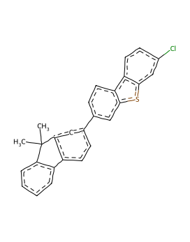 CC1(C)c2ccccc2-c2ccc(-c3ccc4c(c3)sc3cc(Cl)ccc34)cc21